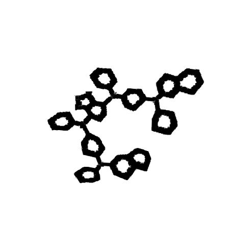 c1ccc(N(c2ccc(N(c3ccccc3)c3ccc(N(c4ccccc4)c4ccc(N(c5ccccc5)c5ccc6ccccc6c5)cc4)c4nsnc34)cc2)c2ccc3ccccc3c2)cc1